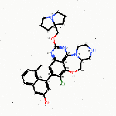 Cc1cccc2cc(O)cc(-c3cc4nc(OCC56CCCN5CCC6)nc5c4c(c3Cl)OCC3CNCCN53)c12